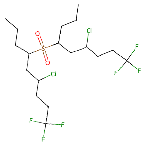 CCCC(CC(Cl)CCC(F)(F)F)S(=O)(=O)C(CCC)CC(Cl)CCC(F)(F)F